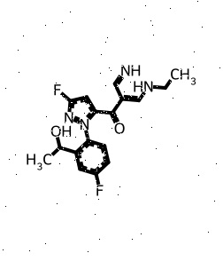 CCN/C=C(\C=N)C(=O)c1cc(F)nn1-c1ccc(F)cc1C(C)O